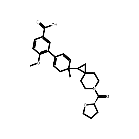 COc1ccc(C(=O)O)cc1C1=CCC(C)([C@H]2CC23CCN(C(=O)[C@H]2CCCO2)CC3)C=C1